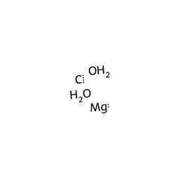 O.O.[C].[Mg]